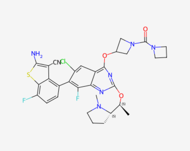 C[C@H](Oc1nc(OC2CN(C(=O)N3CCC3)C2)c2cc(Cl)c(-c3ccc(F)c4sc(N)c(C#N)c34)c(F)c2n1)[C@@H]1CCCN1C